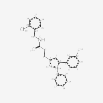 O=C(CCc1cc(-c2cccc(F)c2)n(-c2ccccc2)n1)NCc1ccccc1Cl